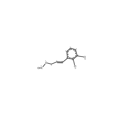 O=[C]OCC=Cc1cccc(Cl)c1Cl